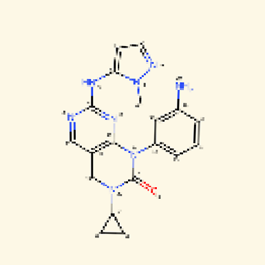 Cn1nccc1Nc1ncc2c(n1)N(c1cccc(N)c1)C(=O)N(C1CC1)C2